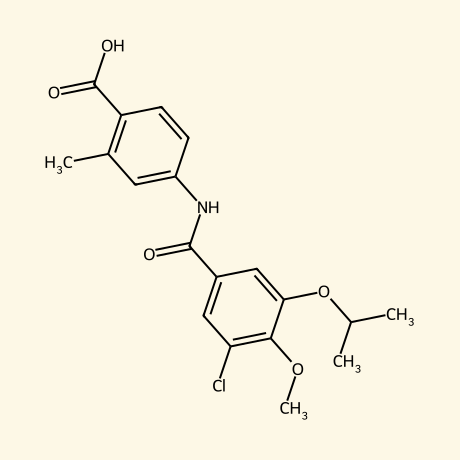 COc1c(Cl)cc(C(=O)Nc2ccc(C(=O)O)c(C)c2)cc1OC(C)C